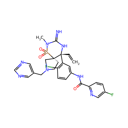 C=C[C@]1(c2cc(NC(=O)c3ccc(F)cn3)ccc2F)NC(=N)N(C)S(=O)(=O)[C@@]12CCN(Cc1cncnc1)C2